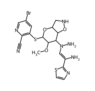 COC1C(Sc2cc(Br)cnc2C#N)OC2CNOC2C1N(N)/C=C(\N)c1nccs1